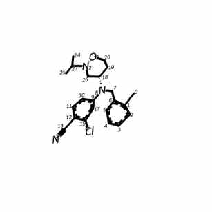 Cc1ccccc1CN(c1ccc(C#N)c(Cl)c1)[C@H]1CCON(C(C)C)C1